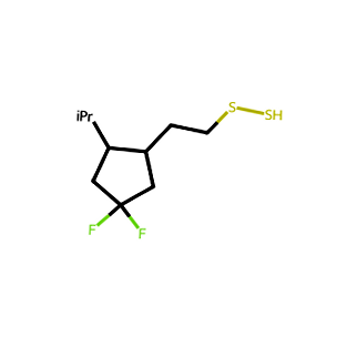 CC(C)C1CC(F)(F)CC1CCSS